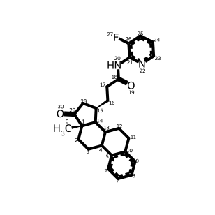 C[C@]12CCC3c4ccccc4CCC3C1[C@H](CCC(=O)Nc1ncccc1F)CC2=O